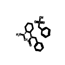 CN(C)[C@@H]1CCCC[C@H]1N(C=O)Cc1ccccc1.O=S(=O)(O)Cc1ccccc1